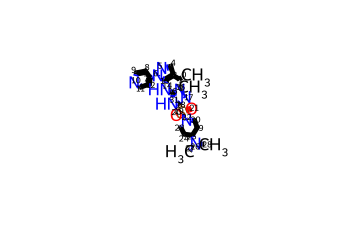 CC(C)c1cnn(-c2ccncc2)c1Nc1nnc(S(=O)(=O)N2CCC(N(C)C)CC2)[nH]1